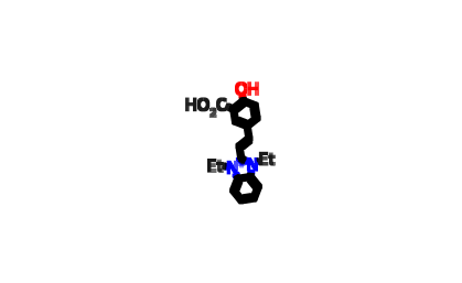 CCn1c(C=Cc2ccc(O)c(C(=O)O)c2)[n+](CC)c2ccccc21